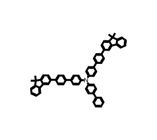 CC1(C)c2ccccc2-c2cc(-c3ccc(-c4ccc(N(c5ccc(-c6ccccc6)cc5)c5ccc(-c6ccc(-c7ccc8c(c7)-c7ccccc7C8(C)C)cc6)cc5)cc4)cc3)ccc21